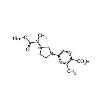 Cc1nc(N2CC[C@@H](N(C)C(=O)OC(C)(C)C)C2)cnc1C(=O)O